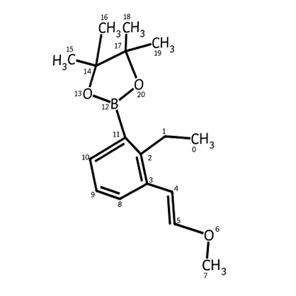 CCc1c(C=COC)cccc1B1OC(C)(C)C(C)(C)O1